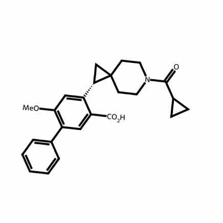 COc1cc([C@@H]2CC23CCN(C(=O)C2CC2)CC3)c(C(=O)O)cc1-c1ccccc1